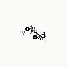 Cc1cccc(NC(=O)NCC(=O)N(CC(=O)N2C(C)CCCC2C)c2ccccc2)c1